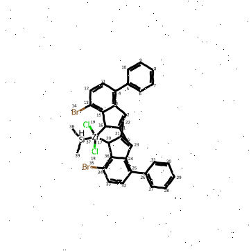 CC1=Cc2c(-c3ccccc3)ccc(Br)c2[CH]1[Zr]([Cl])([Cl])([CH]1C(C)=Cc2c(-c3ccccc3)ccc(Br)c21)[SiH](C)C